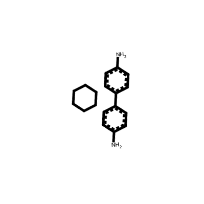 C1CCCCC1.Nc1ccc(-c2ccc(N)cc2)cc1